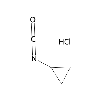 Cl.O=C=NC1CC1